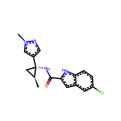 C[C@H]1C[C@@]1(NC(=O)c1cc2cc(Cl)ccc2[nH]1)c1cnn(C)c1